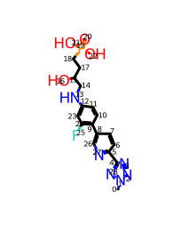 Cn1nnc(-c2ccc(-c3ccc(NCC(O)CCP(=O)(O)O)cc3F)cn2)n1